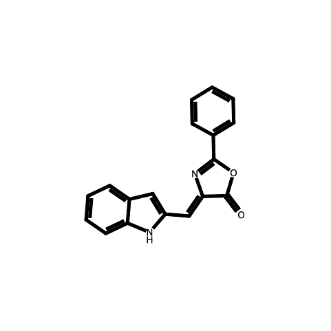 O=C1OC(c2ccccc2)=N/C1=C\c1cc2ccccc2[nH]1